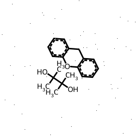 CC(C)(O)C(C)(C)O.c1ccc2c(c1)Cc1ccccc1O2